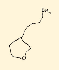 BCCC1CCOC1